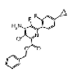 Nc1c(F)c(-c2ccc(C3CC3)cc2F)nc(C(=O)OCc2ccccc2)c1Cl